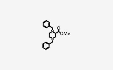 COC(=O)C1CN(Cc2ccccc2)CCN1Cc1ccccc1